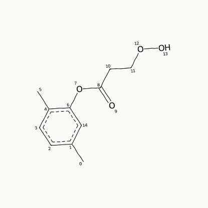 Cc1ccc(C)c(OC(=O)CCOO)c1